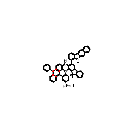 CCC[C@H](C)c1ccc(N2c3cc(N(c4ccccc4)c4ccccc4)ccc3Bc3c(-c4cccc5c4[nH]c4cc6ccccc6cc45)cc4c(c32)C(C)(C)c2ccccc2-4)c(-c2ccccc2)c1